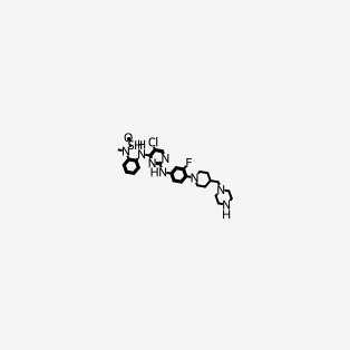 CN([SH]=O)c1ccccc1Nc1nc(Nc2ccc(N3CCC(CN4CCNCC4)CC3)c(F)c2)ncc1Cl